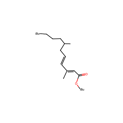 CCC(C)CCCC(C)CC=CC(C)=CC(=O)OC(C)CC